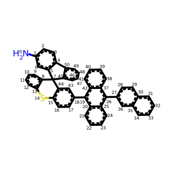 Nc1ccc2c(c1)C1(c3ccccc3Sc3ccc(-c4c5ccccc5c(-c5ccc6ccccc6c5)c5ccccc45)cc31)c1ccccc1-2